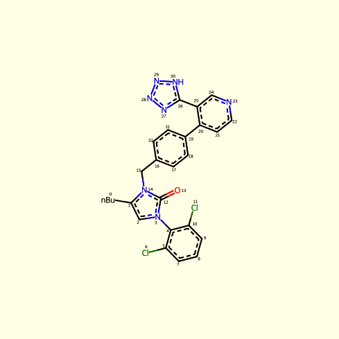 CCCCc1cn(-c2c(Cl)cccc2Cl)c(=O)n1Cc1ccc(-c2ccncc2-c2nnn[nH]2)cc1